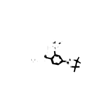 CCS(=O)(=O)Nc1cc(B2OC(C)(C)C(C)(C)O2)ccc1C(=O)OC